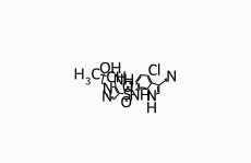 CC(C)(O)Cn1ncc(S(=O)(=O)Nc2ccc(Cl)c3c(C#N)c[nH]c23)c1N